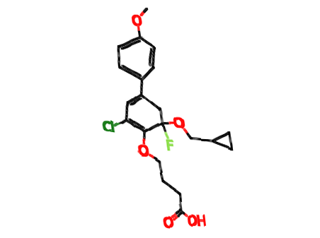 COc1ccc(C2=CC(Cl)=C(OCCCC(=O)O)C(F)(OCC3CC3)C2)cc1